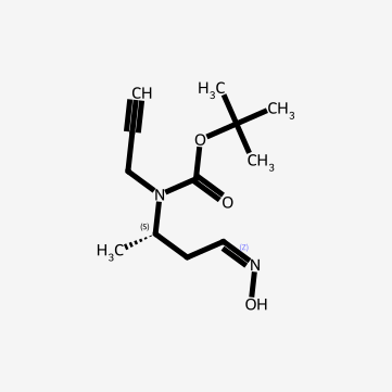 C#CCN(C(=O)OC(C)(C)C)[C@@H](C)C/C=N\O